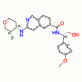 COc1ccc([C@@H](CO)NC(=O)c2ccc3cnc(N[C@H]4CCOC[C@H]4F)cc3c2)cc1